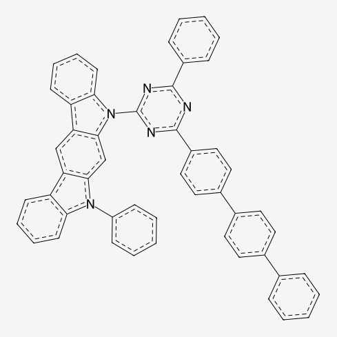 c1ccc(-c2ccc(-c3ccc(-c4nc(-c5ccccc5)nc(-n5c6ccccc6c6cc7c8ccccc8n(-c8ccccc8)c7cc65)n4)cc3)cc2)cc1